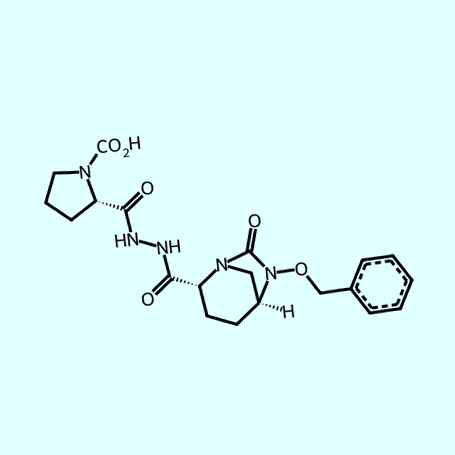 O=C(NNC(=O)[C@@H]1CCCN1C(=O)O)[C@H]1CC[C@H]2CN1C(=O)N2OCc1ccccc1